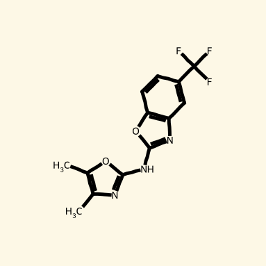 Cc1nc(Nc2nc3cc(C(F)(F)F)ccc3o2)oc1C